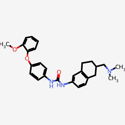 COc1ccccc1Oc1ccc(NC(=O)Nc2ccc3c(c2)CCC(CN(C)C)C3)cc1